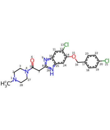 CN1CCN(C(=O)Cc2nc3cc(Cl)c(OCc4ccc(Cl)cc4)cc3[nH]2)CC1